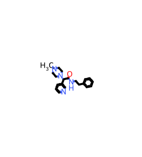 CN1CCN(C(C(=O)NCCc2ccccc2)c2cccnc2)CC1